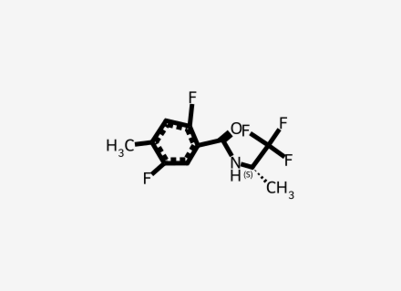 Cc1cc(F)c(C(=O)N[C@@H](C)C(F)(F)F)cc1F